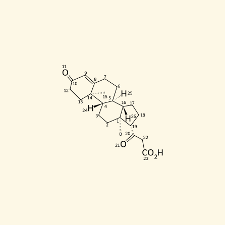 C[C@]12CC[C@H]3[C@@H](CCC4=CC(=O)CC[C@@]43C)[C@@H]1CC[C@@H]2C(=O)CC(=O)O